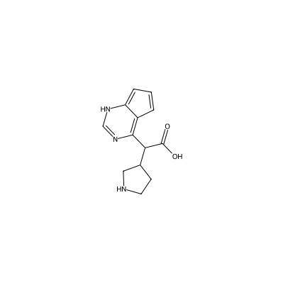 O=C(O)C(c1nc[nH]c2cccc1-2)C1CCNC1